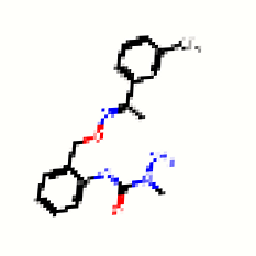 CC(=NOCc1ccccc1NC(=O)N(C)N)c1cccc(C(F)(F)F)c1